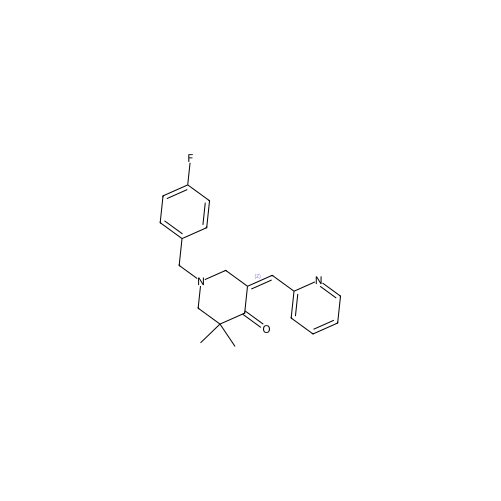 CC1(C)CN(Cc2ccc(F)cc2)C/C(=C/c2ccccn2)C1=O